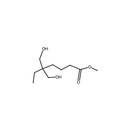 [CH2]CC(CO)(CO)CCCC(=O)OC